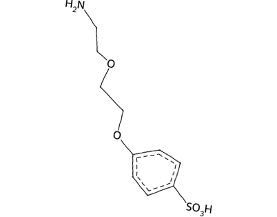 NCCOCCOc1ccc(S(=O)(=O)O)cc1